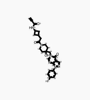 C#CC(=O)NC1CC(CC(=O)N2CCC(O)(Cn3cnc4c(cnn4-c4ccc(F)cc4)c3=O)CC2)C1